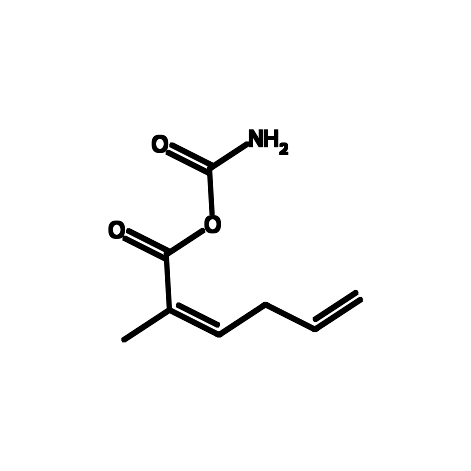 C=CCC=C(C)C(=O)OC(N)=O